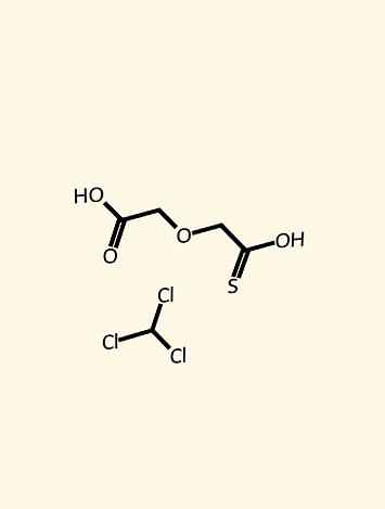 ClC(Cl)Cl.O=C(O)COCC(O)=S